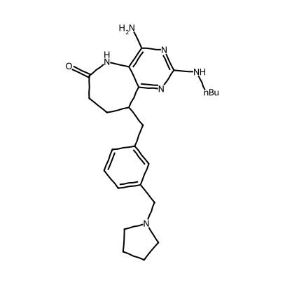 CCCCNc1nc(N)c2c(n1)C(Cc1cccc(CN3CCCC3)c1)CCC(=O)N2